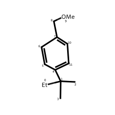 CCC(C)(C)c1ccc(COC)cc1